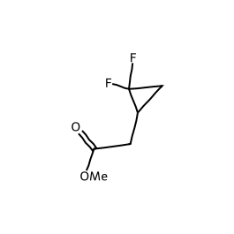 COC(=O)CC1CC1(F)F